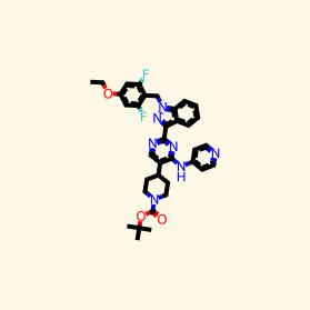 CCOc1cc(F)c(Cn2nc(-c3ncc(C4CCN(C(=O)OC(C)(C)C)CC4)c(Nc4ccncc4)n3)c3ccccc32)c(F)c1